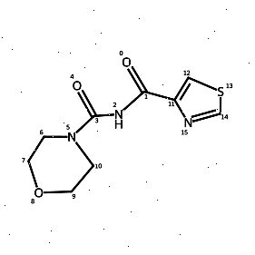 O=C(NC(=O)N1CCOCC1)c1cscn1